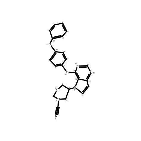 N#CN1CCCC(n2ccc3ncnc(Oc4ccc(Oc5ccccc5)cc4)c32)C1